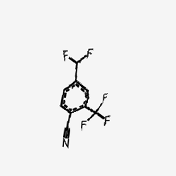 N#Cc1ccc([C](F)F)cc1C(F)(F)F